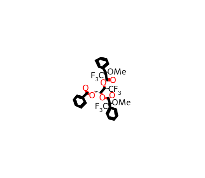 CO[C@@](C(=O)O[C@H](COC(=O)c1ccccc1)[C@H](OC(=O)[C@](OC)(c1ccccc1)C(F)(F)F)C(F)(F)F)(c1ccccc1)C(F)(F)F